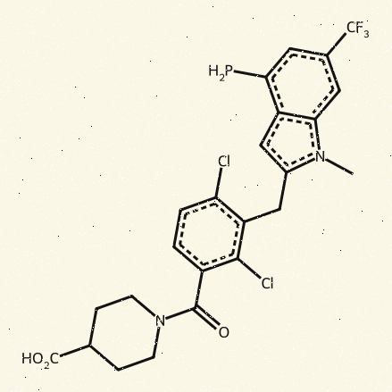 Cn1c(Cc2c(Cl)ccc(C(=O)N3CCC(C(=O)O)CC3)c2Cl)cc2c(P)cc(C(F)(F)F)cc21